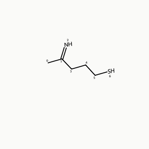 CC(=N)CCCS